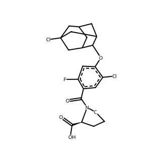 O=C(O)[C@@H]1CCCN1C(=O)c1cc(Cl)c(OC2C3CC4CC2CC(Cl)(C4)C3)cc1F